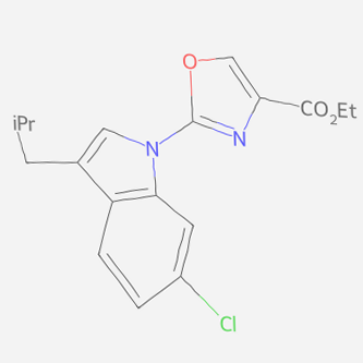 CCOC(=O)c1coc(-n2cc(CC(C)C)c3ccc(Cl)cc32)n1